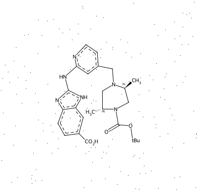 C[C@@H]1CN(Cc2ccnc(Nc3nc4ccc(C(=O)O)cc4[nH]3)c2)[C@@H](C)CN1C(=O)OC(C)(C)C